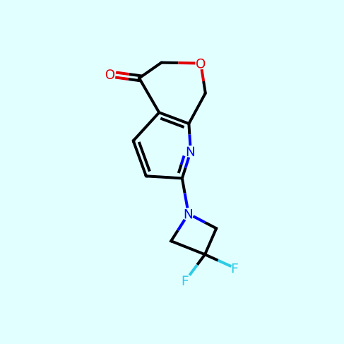 O=C1COCc2nc(N3CC(F)(F)C3)ccc21